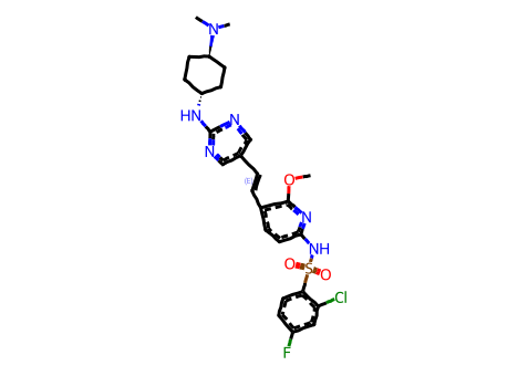 COc1nc(NS(=O)(=O)c2ccc(F)cc2Cl)ccc1/C=C/c1cnc(N[C@H]2CC[C@H](N(C)C)CC2)nc1